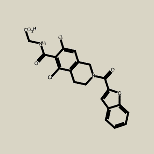 O=C(O)CNC(=O)c1c(Cl)cc2c(c1Cl)CCN(C(=O)c1cc3ccccc3o1)C2